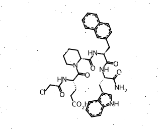 NC(=O)[C@H](Cc1c[nH]c2ccccc12)NC(=O)[C@H](Cc1ccc2ccccc2c1)NC(=O)[C@@H]1CCCCN1C(=O)[C@H](CCC(=O)O)NC(=O)CCl